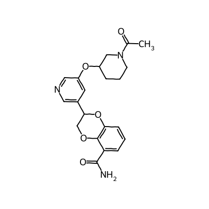 CC(=O)N1CCCC(Oc2cncc(C3COc4c(cccc4C(N)=O)O3)c2)C1